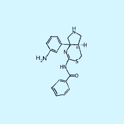 Nc1cccc(C23CNC[C@H]2CSC(NC(=O)c2ccccc2)=N3)c1